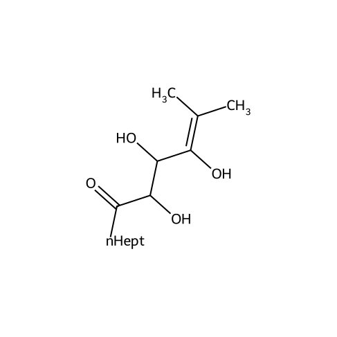 CCCCCCCC(=O)C(O)C(O)C(O)=C(C)C